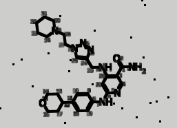 NC(=O)c1cnc(Nc2ccc(C3CCOCC3)cc2)cc1NCc1cn(CCN2CCCCC2)nn1